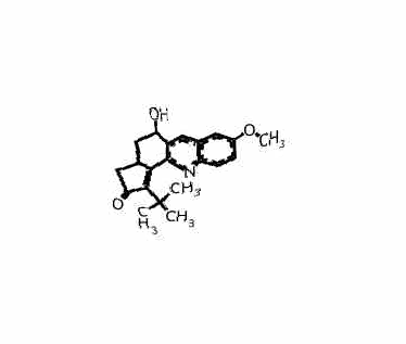 COc1ccc2nc3c(cc2c1)C(O)CC1CC(=O)C(C(C)(C)C)=C31